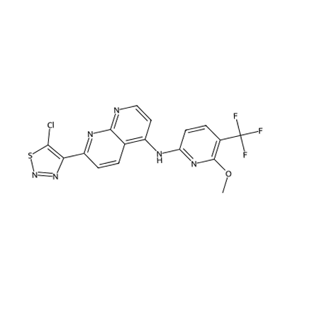 COc1nc(Nc2ccnc3nc(-c4nnsc4Cl)ccc23)ccc1C(F)(F)F